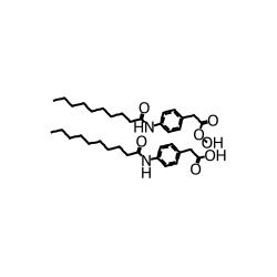 CCCCCCCCCC(=O)Nc1ccc(CC(=O)O)cc1.CCCCCCCCCC(=O)Nc1ccc(CC(=O)OO)cc1